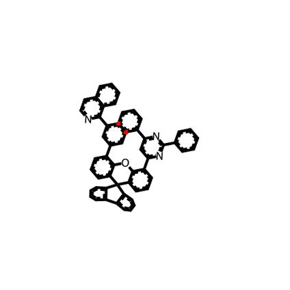 c1ccc(-c2cc(-c3cccc4c3Oc3c(-c5cccc(-c6nccc7ccccc67)c5)cccc3C43c4ccccc4-c4ccccc43)nc(-c3ccccc3)n2)cc1